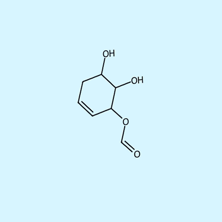 O=COC1C=CCC(O)C1O